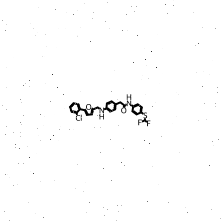 O=C(Cc1ccc(NCc2ccc(-c3ccccc3Cl)o2)cc1)Nc1ccc(SC(F)F)cc1